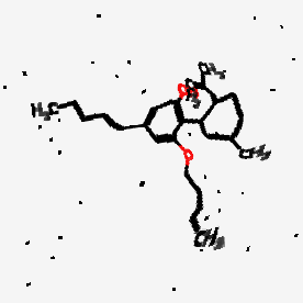 C=C(C)C1CCC(C)=CC1c1c(O)cc(CCCCC)cc1OCCCC